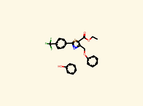 CCOC(=O)c1sc(-c2ccc(C(F)(F)F)cc2)nc1COc1ccccc1.Oc1ccccc1